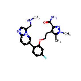 CNCc1cnc2ccc(-c3ccc(F)cc3OCCc3c(C(N)=O)nn(C)c3C)cn12